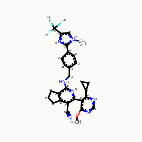 COc1ncnc(C2CC2)c1-c1nc(NCc2ccc(-c3nc(C(F)(F)F)cn3C)cc2)c2c(c1C#N)CCC2